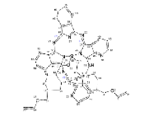 C=COCC1CCC(CO[Si]2(OCC3CCC(COC=C)CC3)N3/C4=N\C5=NC(=N\c6c7ncccc7c(n62)/N=C2\N=C(NC3c3ncccc34)c3cccnc32)/C2=C5N=CCC2)CC1